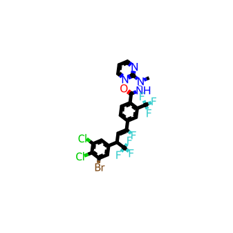 CN(NC(=O)c1ccc(C(F)=CC(c2cc(Cl)c(Cl)c(Br)c2)C(F)(F)F)cc1C(F)(F)F)c1ncccn1